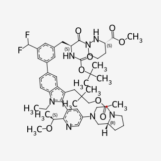 CCn1c(-c2cc(N3CCN4CCC[C@@H]4C3)cnc2[C@H](C)OC)c(CC(C)(C)COC(C)=O)c2cc(-c3cc(C[C@H](NC(=O)OC(C)(C)C)C(=O)N4CCC[C@@H](C(=O)OC)N4)cc(C(F)F)c3)ccc21